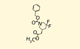 COC(=O)C[C@H]1CN(C(=O)OCc2ccccc2)CC(F)(F)C1